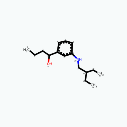 CCCC(O)c1cccc(NCC(CC)CC)c1